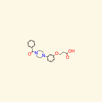 O=C(O)CCOc1cccc(N2CCN(C(=O)c3ccccc3)CC2)c1